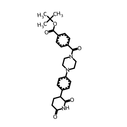 CC(C)(C)OC(=O)c1ccc(C(=O)N2CCN(c3ccc(C4CCC(=O)NC4=O)cc3)CC2)cc1